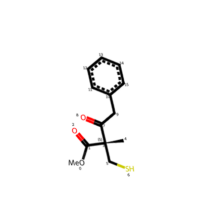 COC(=O)[C@@](C)(CS)C(=O)Cc1ccccc1